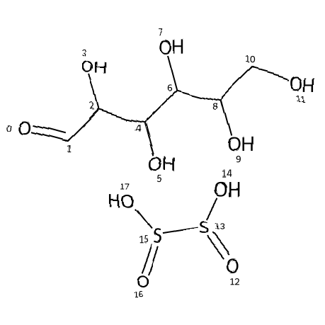 O=CC(O)C(O)C(O)C(O)CO.O=S(O)S(=O)O